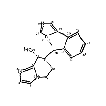 O[C@H]1c2nccn2CC[C@H]1[C@H]1c2ccccc2-c2cncn21